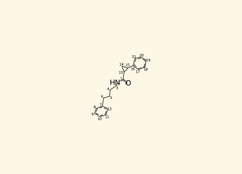 O=C(NCCCCc1ccccc1)C1CC1c1ccccc1